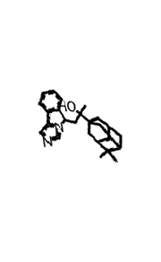 CC1(C)C2CC3CC1CC(C(C)(O)CC1c4ccccc4-c4cncn41)(C3)C2